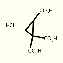 Cl.O=C(O)C1CC1(C(=O)O)C(=O)O